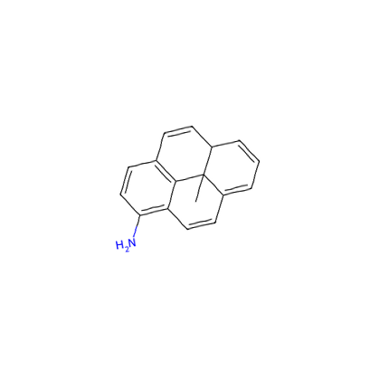 CC12C3=CC=CC1C=Cc1ccc(N)c(c12)C=C3